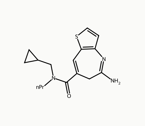 CCCN(CC1CC1)C(=O)C1=Cc2sccc2N=C(N)C1